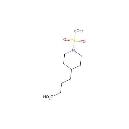 CCCCCCCCS(=O)(=O)N1CCC(CCCC(=O)O)CC1